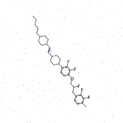 CCCCCC1CCC(/C=C/C2CCC(c3ccc(OCC(F)Cc4ccc(C)c(F)c4F)c(F)c3F)CC2)CC1